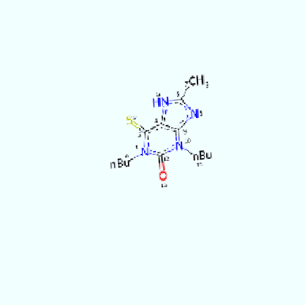 CCCCn1c(=S)c2[nH]c(C)nc2n(CCCC)c1=O